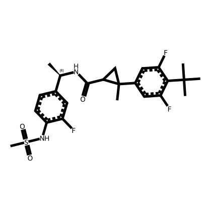 C[C@@H](NC(=O)C1CC1(C)c1cc(F)c(C(C)(C)C)c(F)c1)c1ccc(NS(C)(=O)=O)c(F)c1